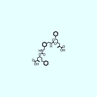 C=C(CC(CSc1ccccc1)OC(=O)NCc1cccc(CNC(=O)OC(CSc2ccccc2)CC(=C)C(=O)O)c1)C(=O)O